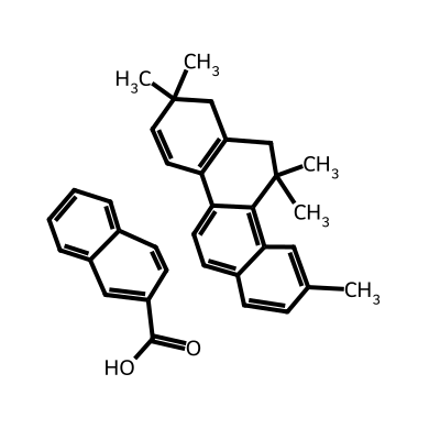 Cc1ccc2ccc3c(c2c1)C(C)(C)CC1=C3C=CC(C)(C)C1.O=C(O)c1ccc2ccccc2c1